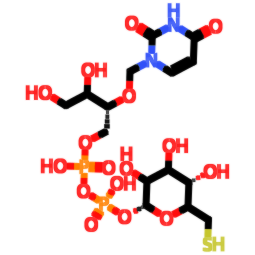 O=c1ccn(CO[C@H](COP(=O)(O)OP(=O)(O)O[C@H]2OC(CS)[C@@H](O)C(O)C2O)C(O)CO)c(=O)[nH]1